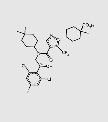 CC1(C)CCC(N(C[C@@H](O)c2c(Cl)cc(F)cc2Cl)C(=O)c2cnn([C@H]3CC[C@](C)(C(=O)O)CC3)c2C(F)(F)F)CC1